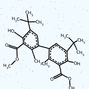 COC(=O)c1c(C)c(-c2cc(C(C)(C)C)c(O)c(C(=O)OC)c2C)cc(C(C)(C)C)c1O